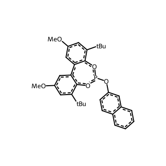 COc1cc(C(C)(C)C)c2op(Oc3ccc4ccccc4c3)oc3c(C(C)(C)C)cc(OC)cc3c2c1